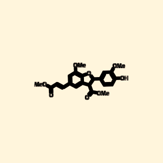 COC(=O)C=Cc1cc(OC)c2c(c1)C(C(=O)OC)C(c1ccc(O)c(OC)c1)O2